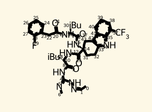 C/C=N\N/C(=N\C)NC(=O)[C@@H](NC(=O)[C@@]1(NC(=O)[C@@H](NC(=O)Cc2ccccc2F)C(C)CC)CCc2[nH]c3c(C(F)(F)F)cccc3c2C1)C(C)CC